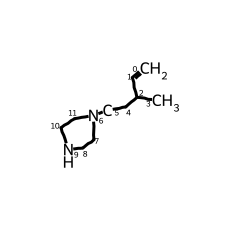 C=CC(C)CCN1CCNCC1